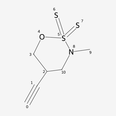 C#CC1COS(=S)(=S)N(C)C1